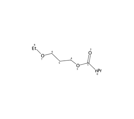 CCCC(=O)OCCCOCC